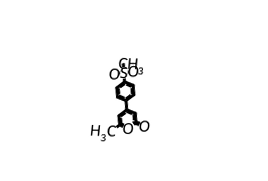 Cc1cc(-c2ccc(S(C)(=O)=O)cc2)cc(=O)o1